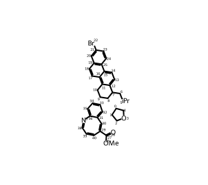 C1CCOC1.CC(C)CC1CCCc2c1ccc1c2ccc2cc(Br)ccc21.COC(=O)C1=Cc2ccccc2N=CC=C1